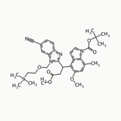 COC(=O)CC(c1c(OC)cc(C)c2c1ccn2C(=O)OC(C)(C)C)c1nc2ccc(C#N)cc2n1COCC[Si](C)(C)C